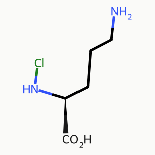 NCCC[C@H](NCl)C(=O)O